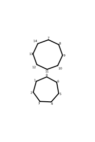 C1CCCCCC1.C1CCCCCCC1